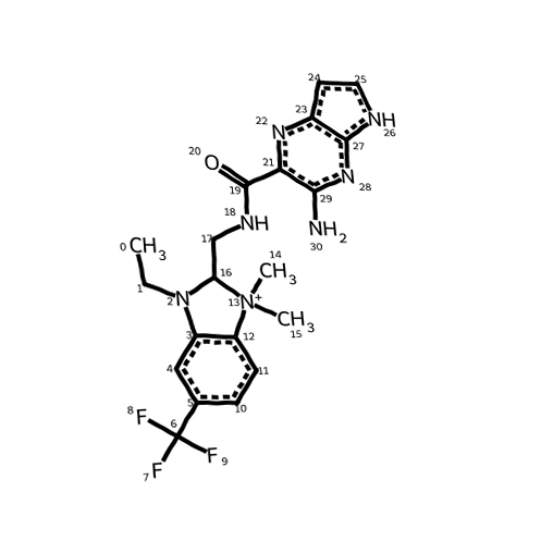 CCN1c2cc(C(F)(F)F)ccc2[N+](C)(C)C1CNC(=O)c1nc2cc[nH]c2nc1N